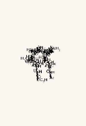 CC(=O)C(=O)O.CC(=O)SCCNC(=O)CCNC(=O)[C@H](O)C(C)(C)COP(=O)(O)OP(=O)(O)OC[C@H]1O[C@@H](n2cnc3c(N)ncnc32)[C@H](O)[C@@H]1OP(=O)(O)O.CC(C)(COP(=O)(O)OP(=O)(O)OC[C@H]1O[C@@H](n2cnc3c(N)ncnc32)[C@H](O)[C@@H]1OP(=O)(O)O)[C@@H](O)C(=O)NCCC(=O)NCCSC(=O)CC(=O)O